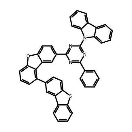 c1ccc(-c2nc(-c3ccc4oc5cccc(-c6ccc7sc8ccccc8c7c6)c5c4c3)nc(-n3c4ccccc4c4ccccc43)n2)cc1